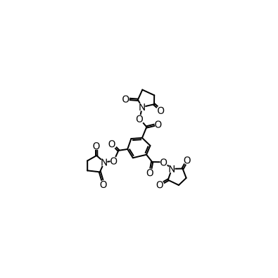 O=C(ON1C(=O)CCC1=O)c1cc(C(=O)ON2C(=O)CCC2=O)cc(C(=O)ON2C(=O)CCC2=O)c1